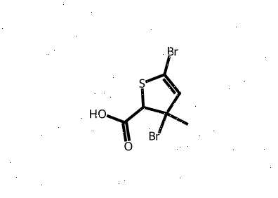 CC1(Br)C=C(Br)SC1C(=O)O